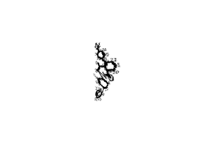 Cc1cn(-c2ccc(N3CC4CC(C3)O4)cc2)c(=O)c2cccc(-c3ccc(C#N)cc3)c12